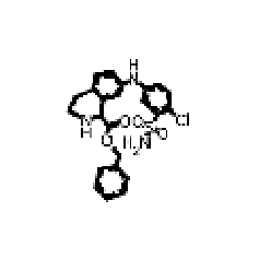 NS(=O)(=O)c1cc(Nc2ccc3c(c2)C(C(=O)OCc2ccccc2)NCC3)ccc1Cl